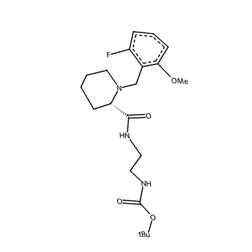 COc1cccc(F)c1CN1CCCC[C@H]1C(=O)NCCNC(=O)OC(C)(C)C